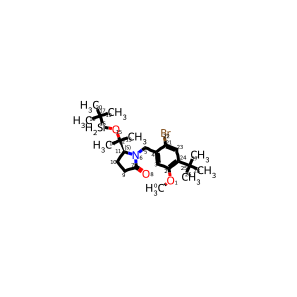 COc1cc(CN2C(=O)CC[C@H]2C(C)(C)O[SiH2]C(C)(C)C)c(Br)cc1C(C)(C)C